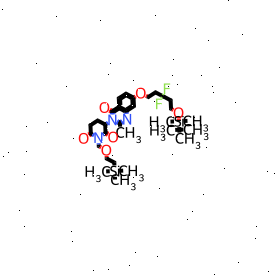 Cc1nc2cc(OCCC(F)(F)CCO[Si](C)(C)C(C)(C)C)ccc2c(=O)n1C1CCC(=O)N(COCC[Si](C)(C)C)C1=O